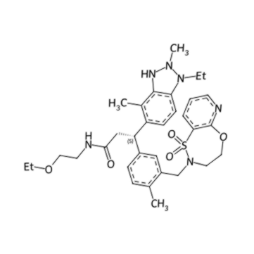 CCOCCNC(=O)C[C@@H](c1ccc(C)c(CN2CCOc3ncccc3S2(=O)=O)c1)c1ccc2c(c1C)NN(C)N2CC